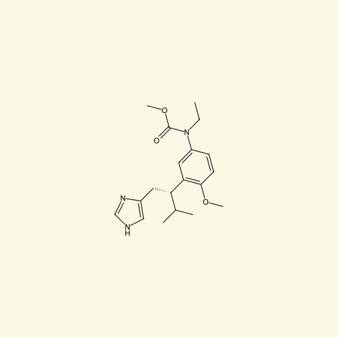 CCN(C(=O)OC)c1ccc(OC)c([C@@H](Cc2c[nH]cn2)C(C)C)c1